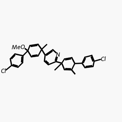 COC1(c2ccc(Cl)cc2)C=CC(C)(c2ccc(C3(C)C=CC(c4ccc(Cl)cc4)C(C)=C3)nc2)C=C1